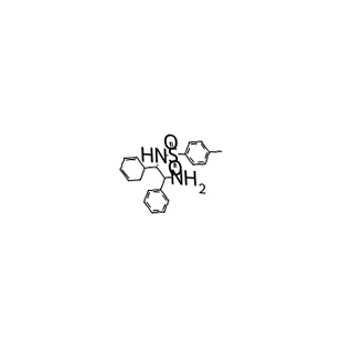 Cc1ccc(S(=O)(=O)N[C@@H](C2C=CC=CC2)C(N)c2ccccc2)cc1